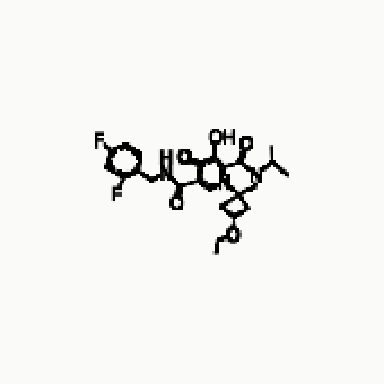 CCO[C@H]1C[C@@]2(CN(C(C)C)C(=O)c3c(O)c(=O)c(C(=O)NCc4ccc(F)cc4F)cn32)C1